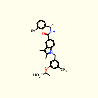 Cc1c(C)n(Cc2cc(OC(C)C(=O)O)cc(C(F)(F)F)c2)c2ccc(C(=O)N[C@@H](C)c3cccc(C(C)C)c3)cc12